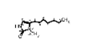 CCCCCCCc1c[nH]c(=O)n1C